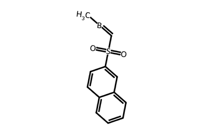 CB=CS(=O)(=O)c1ccc2ccccc2c1